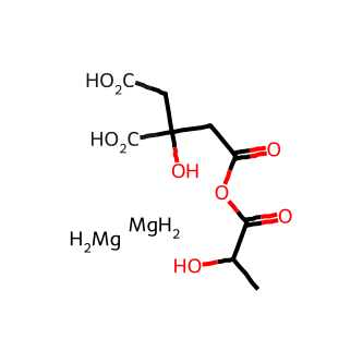 CC(O)C(=O)OC(=O)CC(O)(CC(=O)O)C(=O)O.[MgH2].[MgH2]